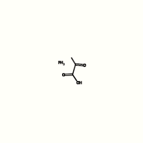 CC(=O)C(=O)O.P